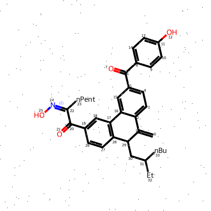 C=C1c2ccc(C(=O)c3ccc(O)cc3)cc2-c2cc(C(=O)/C(CCCCC)=N\O)ccc2C1CC(CC)CCCC